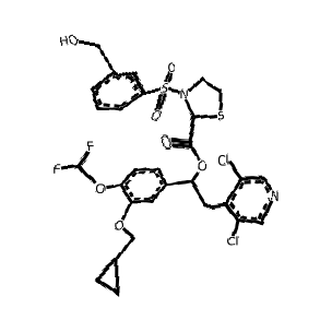 O=C(OC(Cc1c(Cl)cncc1Cl)c1ccc(OC(F)F)c(OCC2CC2)c1)C1SCCN1S(=O)(=O)c1cccc(CO)c1